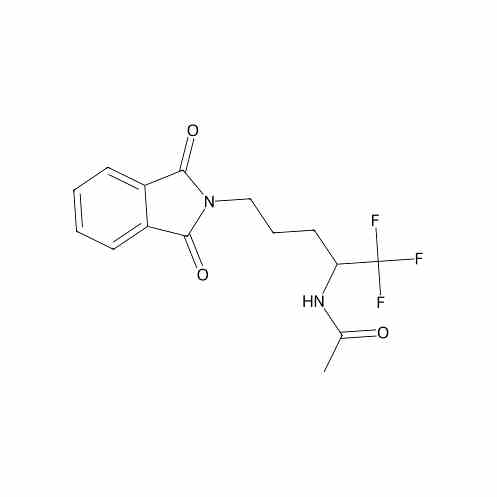 CC(=O)NC(CCCN1C(=O)c2ccccc2C1=O)C(F)(F)F